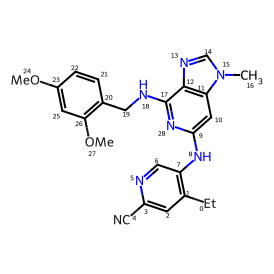 CCc1cc(C#N)ncc1Nc1cc2c(ncn2C)c(NCc2ccc(OC)cc2OC)n1